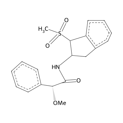 CO[C@@H](C(=O)NC1Cc2ccccc2C1S(C)(=O)=O)c1ccccc1